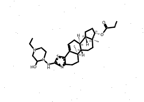 CCC(=O)O[C@H]1CC[C@H]2[C@@H]3CC=C4c5sc(NN6CCN(CC)CC6O)nc5CC[C@]4(C)[C@H]3CC[C@]12C